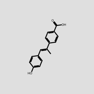 C/C(=C\c1ccc(O)cc1)c1ccc(C(=O)O)cc1